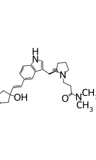 CN(C)C(=O)CCN1CCC[C@@H]1Cc1c[nH]c2ccc(C=CC3(O)CCCC3)cc12